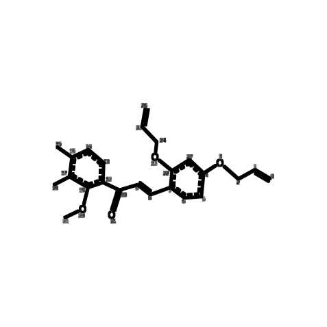 C=CCOc1ccc(/C=C/C(=O)c2ccc(C)c(C)c2OC)c(OCC=C)c1